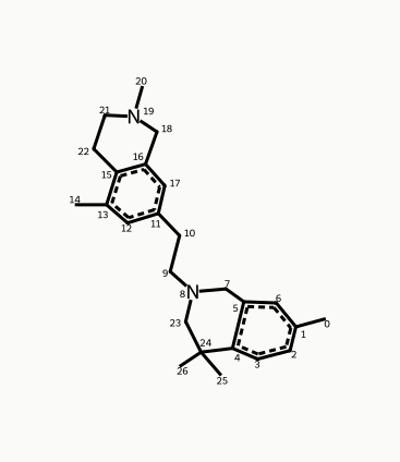 Cc1ccc2c(c1)CN(CCc1cc(C)c3c(c1)CN(C)CC3)CC2(C)C